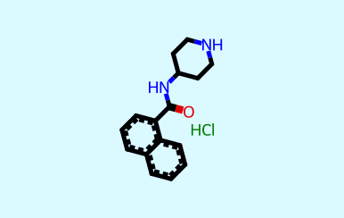 Cl.O=C(NC1CCNCC1)c1cccc2ccccc12